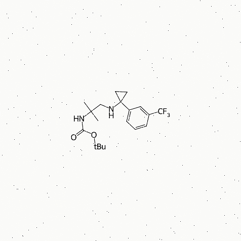 CC(C)(CNC1(c2cccc(C(F)(F)F)c2)CC1)NC(=O)OC(C)(C)C